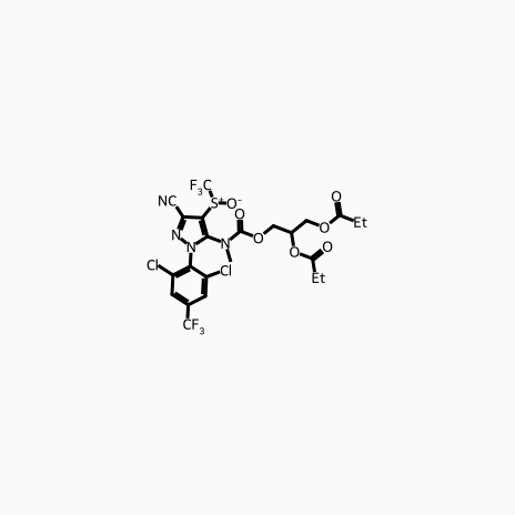 CCC(=O)OCC(COC(=O)N(C)c1c([S+]([O-])C(F)(F)F)c(C#N)nn1-c1c(Cl)cc(C(F)(F)F)cc1Cl)OC(=O)CC